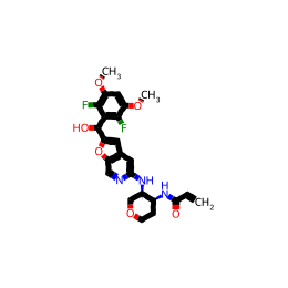 C=CC(=O)N[C@H]1CCOC[C@H]1Nc1cc2cc(C(O)c3c(F)c(OC)cc(OC)c3F)oc2cn1